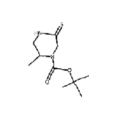 CC1CNC(=S)CN1C(=O)OC(C)(C)C